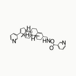 C[C@]12CCC(CNOC(=O)c3cccnc3)C=C1CC[C@H]1[C@@H]2CC[C@]2(C)C(c3cccnc3)=CC[C@@H]12